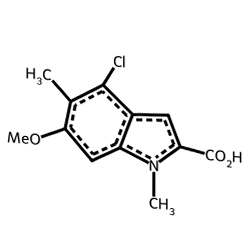 COc1cc2c(cc(C(=O)O)n2C)c(Cl)c1C